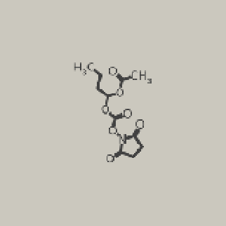 CCCC(OC(C)=O)OC(=O)ON1C(=O)CCC1=O